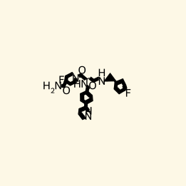 NC(=O)C1(F)CCN(C(=O)[C@H](CCCN[C@@H]2C[C@H]2c2ccc(F)cc2)NC(=O)c2ccc(-c3cccnn3)cc2)CC1